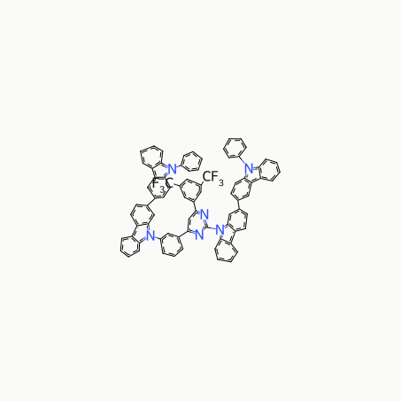 FC(F)(F)c1cc(-c2cc(-c3cccc(-n4c5ccccc5c5ccc(-c6ccc7c(c6)c6ccccc6n7-c6ccccc6)cc54)c3)nc(-n3c4ccccc4c4ccc(-c5ccc6c(c5)c5ccccc5n6-c5ccccc5)cc43)n2)cc(C(F)(F)F)c1